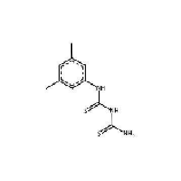 Cc1cc(C)cc(NC(=S)NC(N)=S)c1